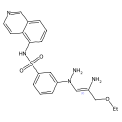 CCOC/C(N)=C/N(N)c1cccc(S(=O)(=O)Nc2cccc3cnccc23)c1